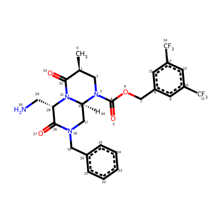 C[C@H]1CN(C(=O)OCc2cc(C(F)(F)F)cc(C(F)(F)F)c2)[C@H]2CN(Cc3ccccc3)C(=O)[C@H](CN)N2C1=O